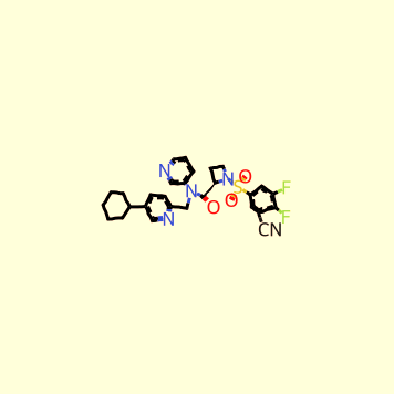 N#Cc1cc(S(=O)(=O)N2CC[C@@H]2C(=O)N(Cc2ccc(C3CCCCC3)cn2)c2cccnc2)cc(F)c1F